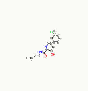 O=C(O)CCNC(=O)c1ncc(-c2cccc(Cl)c2)cc1O